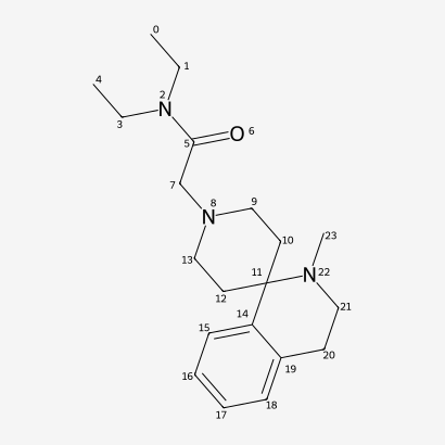 CCN(CC)C(=O)CN1CCC2(CC1)c1ccccc1CCN2C